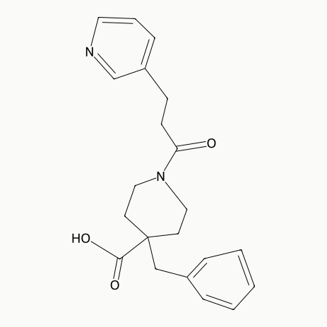 O=C(CCc1cccnc1)N1CCC(Cc2ccccc2)(C(=O)O)CC1